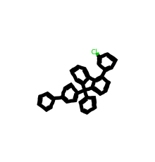 Clc1cccc(-c2cccc3c2-c2ccccc2C3(c2ccccc2)c2ccc(-c3ccccc3)cc2)c1